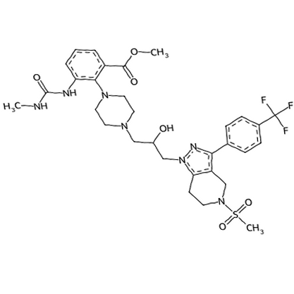 CNC(=O)Nc1cccc(C(=O)OC)c1N1CCN(CC(O)Cn2nc(-c3ccc(C(F)(F)F)cc3)c3c2CCN(S(C)(=O)=O)C3)CC1